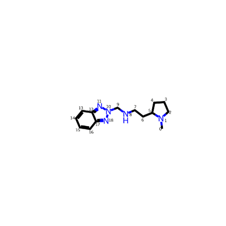 CN1CCCC1CCNCn1nc2ccccc2n1